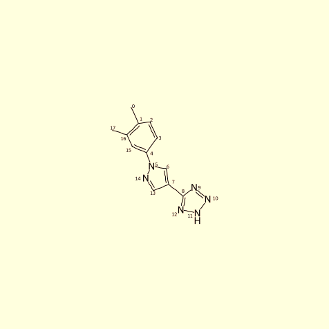 Cc1ccc(-n2cc(-c3nn[nH]n3)cn2)cc1C